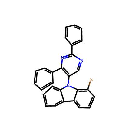 Brc1cccc2c3ccccc3n(-c3cnc(-c4ccccc4)nc3-c3ccccc3)c12